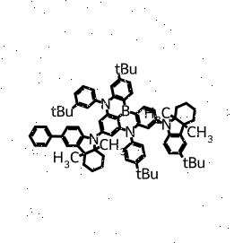 CC(C)(C)c1ccc(N2c3cc(N4c5ccc(C(C)(C)C)cc5C5(C)CCCCC45C)ccc3B3c4ccc(C(C)(C)C)cc4N(c4cccc(C(C)(C)C)c4)c4cc(N5c6ccc(-c7ccccc7)cc6C6(C)CCCCC56C)cc2c43)cc1